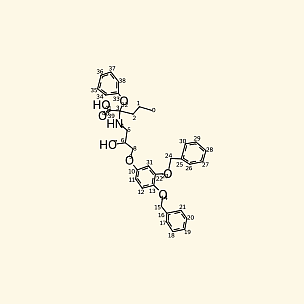 CCCC(NCC(O)COc1ccc(OCc2ccccc2)c(OCc2ccccc2)c1)(Oc1ccccc1)C(=O)O